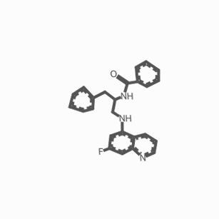 O=C(NC(CNc1cc(F)cc2ncccc12)Cc1ccccc1)c1ccccc1